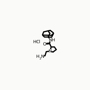 Cl.NCCN1CCCC1C(=O)NC12CC3CC(CC(C3)C1)C2